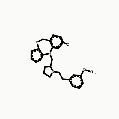 COc1cccc(CCN2CCCC2CN2c3cc(Cl)ccc3COc3ccccc32)c1